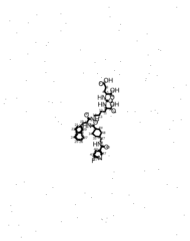 O=C(O)CCC(NC(=O)NC(CCCCNC(=O)C(Cc1ccc2ccccc2c1)NC(=O)C1CCC(CNC(=O)c2ccc(F)nc2)CC1)C(=O)O)C(=O)O